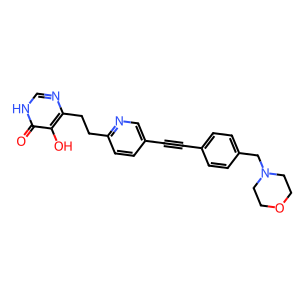 O=c1[nH]cnc(CCc2ccc(C#Cc3ccc(CN4CCOCC4)cc3)cn2)c1O